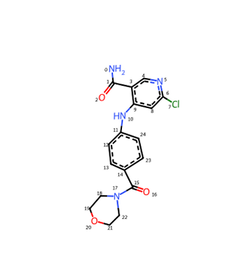 NC(=O)c1cnc(Cl)cc1Nc1ccc(C(=O)N2CCOCC2)cc1